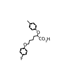 Cc1ccc(OC(CCCCOc2ccc(F)cc2)C(=O)O)cc1